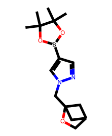 CC1(C)OB(c2cnn(CC34CC(CO3)C4)c2)OC1(C)C